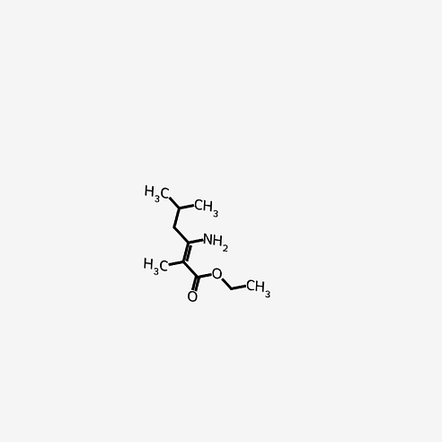 CCOC(=O)C(C)=C(N)CC(C)C